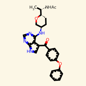 CC(=O)N[C@@H](C)[C@@H]1CC[C@@H](Nc2ncnc3[nH]cc(C(=O)c4ccc(Oc5ccccc5)cc4)c23)CO1